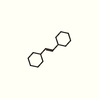 C(=CC1CCCCC1)C1CCCCC1